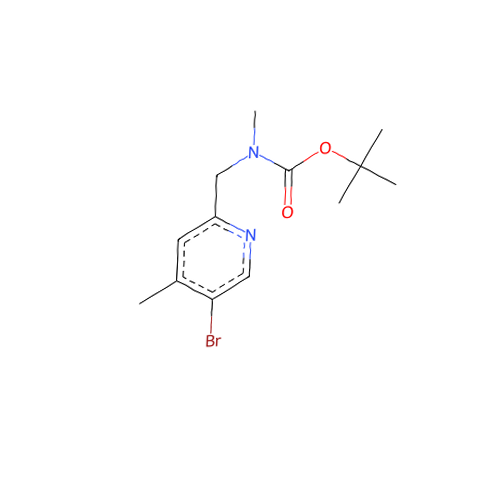 Cc1cc(CN(C)C(=O)OC(C)(C)C)ncc1Br